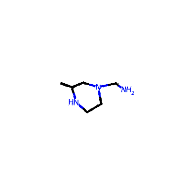 CC1CN([CH]N)CCN1